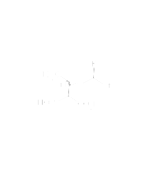 CCCCC[CH]([K])CC.O=C(O)CC(C(=O)O)S(=O)(=O)O